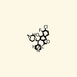 CN1CCN(C(c2ccncc2)c2c(O)c3c(F)c(Cl)ccc3c3occ(C(=O)O)c23)CC1